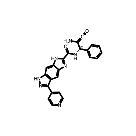 NC(=C=O)[C@@H](NC(=O)c1nc2cc3c(-c4ccncc4)n[nH]c3cc2[nH]1)c1ccccc1